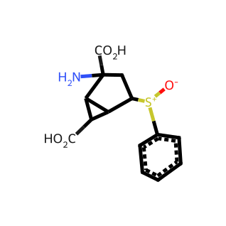 NC1(C(=O)O)CC([S+]([O-])c2ccccc2)C2C(C(=O)O)C21